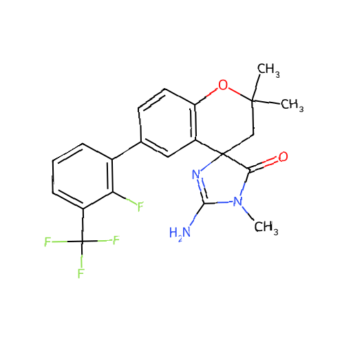 CN1C(=O)C2(CC(C)(C)Oc3ccc(-c4cccc(C(F)(F)F)c4F)cc32)N=C1N